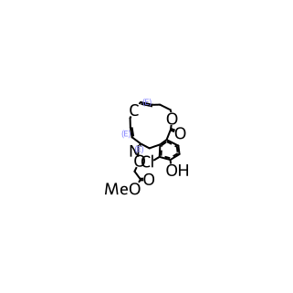 COC(=O)CO/N=C1/C=C/CC/C=C/CCOC(=O)c2ccc(O)c(Cl)c2C1